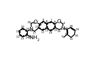 CC1=C(N2COc3cc4cc5c(cc4cc3C2)CN(c2ccccc2N)CO5)C=CCC1